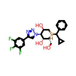 OC[C@@H]1[C@H](O)[C@@H](n2cc(-c3cc(F)c(F)c(F)c3)nn2)[C@@H](O)C[SH]1C(c1ccccc1)C1CC1